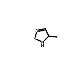 C[C]1C=NSN1